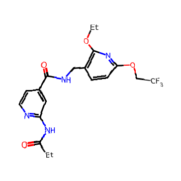 CCOc1nc(OCC(F)(F)F)ccc1CNC(=O)c1ccnc(NC(=O)CC)c1